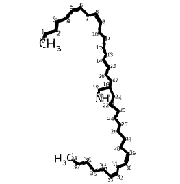 CCCCC/C=C\C/C=C\CCCCCCCCC(CN)CCCCCCCC/C=C\C/C=C\CCCCC